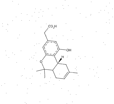 CC1=CCC2[C@@H](C1)c1c(O)cc(CC(=O)O)cc1OC2(C)C